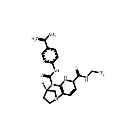 C=C(C)c1ccc(NC(=O)N2C3=C(C=CC(C(=O)NCC(F)(F)F)N3)N3CC[C@H]2C3)nc1